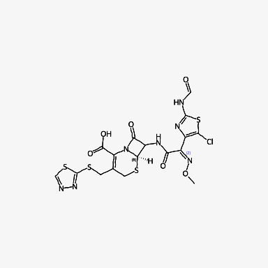 CO/N=C(\C(=O)NC1C(=O)N2C(C(=O)O)=C(CSc3nncs3)CS[C@H]12)c1nc(NC=O)sc1Cl